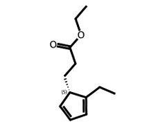 CCOC(=O)CC[C@H]1C=CC=C1CC